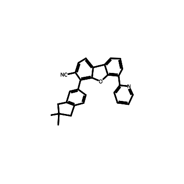 CC1(C)Cc2ccc(-c3c(C#N)ccc4c3oc3c(-c5ccccn5)cccc34)cc2C1